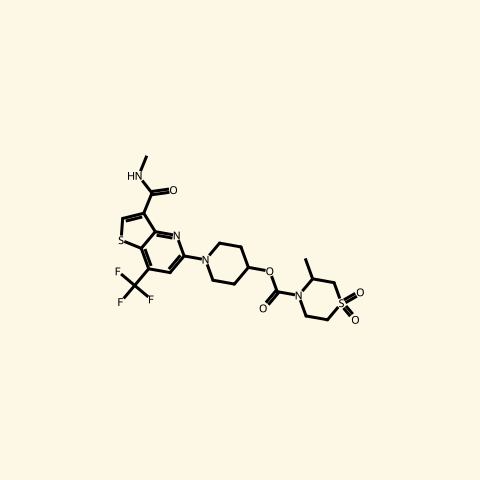 CNC(=O)c1csc2c(C(F)(F)F)cc(N3CCC(OC(=O)N4CCS(=O)(=O)CC4C)CC3)nc12